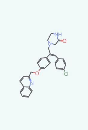 O=C1CN(CC(=Cc2ccc(Cl)cc2)c2ccc(OCc3ccc4ccccc4n3)cc2)CCN1